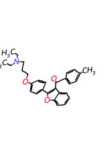 CCN(CC)CCCOc1ccc(-c2oc3ccccc3c2C(=O)c2ccc(C)cc2)cc1